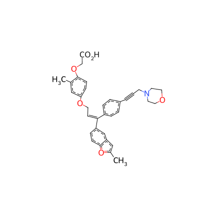 Cc1cc2cc(/C(=C/COc3ccc(OCC(=O)O)c(C)c3)c3ccc(C#CCN4CCOCC4)cc3)ccc2o1